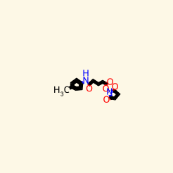 Cc1ccc(NC(=O)CCCC(=O)ON2C(=O)CCC2=O)cc1